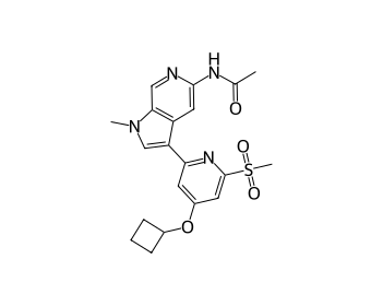 CC(=O)Nc1cc2c(-c3cc(OC4CCC4)cc(S(C)(=O)=O)n3)cn(C)c2cn1